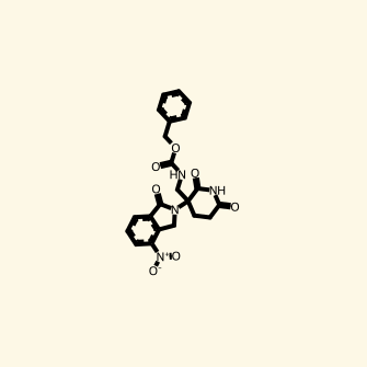 O=C1CCC(CNC(=O)OCc2ccccc2)(N2Cc3c(cccc3[N+](=O)[O-])C2=O)C(=O)N1